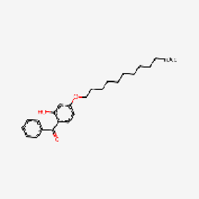 CCCCCCCCCCCCCCCCCCCCOc1ccc(C(=O)c2ccccc2)c(O)c1